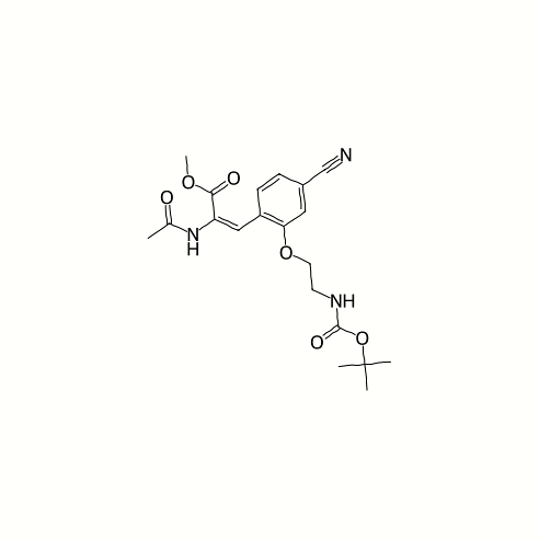 COC(=O)/C(=C\c1ccc(C#N)cc1OCCNC(=O)OC(C)(C)C)NC(C)=O